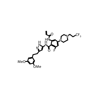 C=CC(=O)Nc1cc(N2CCN(CCC(F)(F)F)CC2)cc(F)c1C(=O)Nc1cc(CCc2cc(OC)cc(OC)c2)n[nH]1